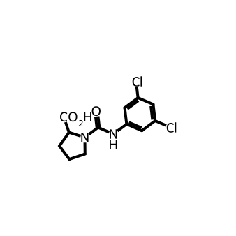 O=C(O)C1CCCN1C(=O)Nc1cc(Cl)cc(Cl)c1